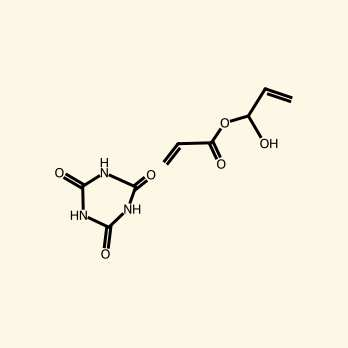 C=CC(=O)OC(O)C=C.O=c1[nH]c(=O)[nH]c(=O)[nH]1